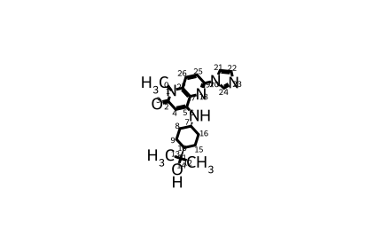 Cn1c(=O)cc(N[C@H]2CC[C@H](C(C)(C)O)CC2)c2nc(-n3ccnc3)ccc21